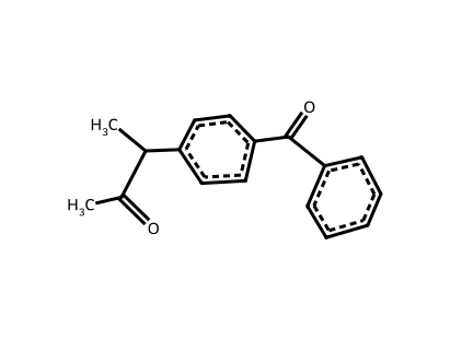 CC(=O)C(C)c1ccc(C(=O)c2ccccc2)cc1